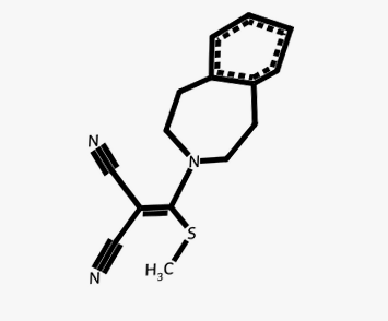 CSC(=C(C#N)C#N)N1CCc2ccccc2CC1